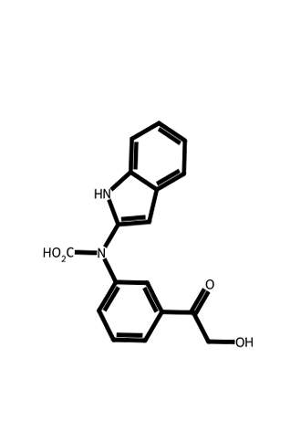 O=C(CO)c1cccc(N(C(=O)O)c2cc3ccccc3[nH]2)c1